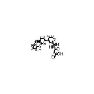 CCC(O)CC(=O)NNc1cc(-c2ccnc(Nc3ccnn3C)n2)ccn1